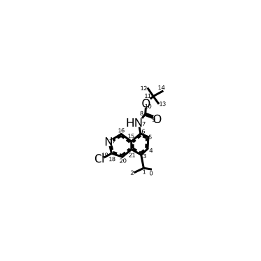 CC(C)c1ccc(NC(=O)OC(C)(C)C)c2cnc(Cl)cc12